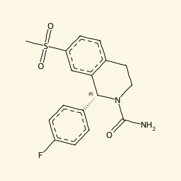 CS(=O)(=O)c1ccc2c(c1)[C@@H](c1ccc(F)cc1)N(C(N)=O)CC2